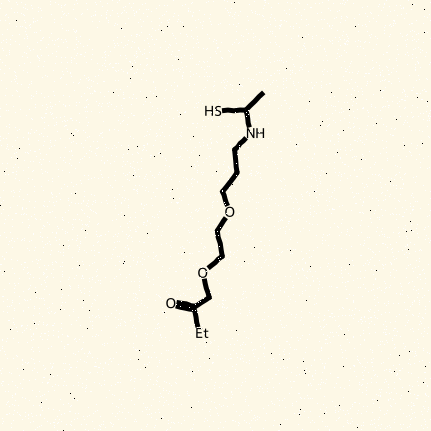 CCC(=O)COCCOCCCNC(C)S